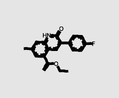 C=C(OCC)c1cc(C)cc2[nH]c(=O)c(-c3ccc(F)cc3)cc12